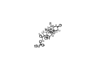 C[C@@H]1C[C@H]2[C@@H]3CC(F)C4=CC(=O)C=C[C@]4(C)[C@@]34O[C@H]4C[C@]2(C)[C@@]1(O)C(=O)COC(=O)C(C)(C)C